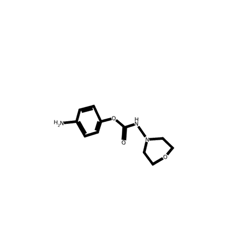 Nc1ccc(OC(=O)NN2CCOCC2)cc1